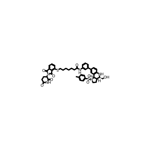 Cc1ccc(S(=O)(=O)N2CC[C@@H]3[C@H](CO)Nc4ccc(-c5cccc(NC(=O)CCCCCCSc6cccc7c6C(=O)N(C6CCC(=O)NC6=O)C7=O)c5)cc4[C@@H]32)cc1